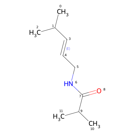 CC(C)/C=C/CNC(=O)C(C)C